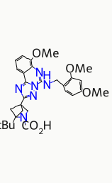 COc1ccc(CNc2nc3c(OC)cccc3c3nc(C45CN(C(=O)O)C(C(C)(C)C)(C4)C5)nn23)c(OC)c1